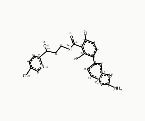 Nc1nc2cc(-c3ccc(Cl)c(C(=O)NCCC(O)c4ccc(Cl)cn4)c3F)ccn2n1